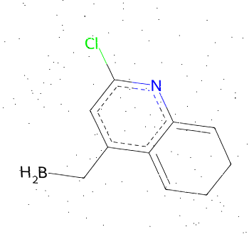 BCc1cc(Cl)nc2c1=CCCC=2